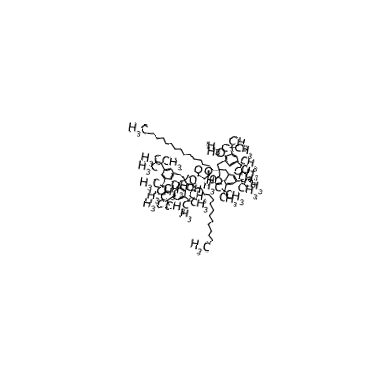 CCCCCCCCCCCCCCCCC(COC(=O)CC(=O)OCC(CCCCCCCCCCCCCCCC)(Cc1cc(C(C)(C)C)cc(C(C)(C)C)c1O)Cc1cc(C(C)(C)C)cc(C(C)(C)C)c1O)(Cc1cc(C(C)(C)C)cc(C(C)(C)C)c1O)Cc1cc(C(C)(C)C)cc(C(C)(C)C)c1O